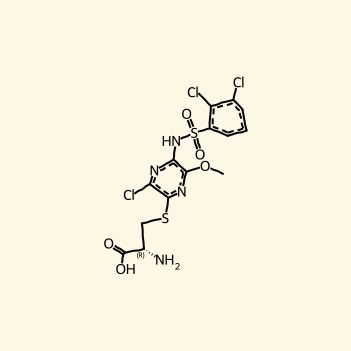 COc1nc(SC[C@H](N)C(=O)O)c(Cl)nc1NS(=O)(=O)c1cccc(Cl)c1Cl